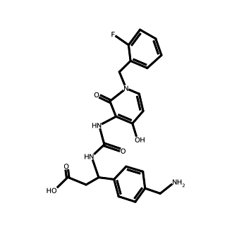 NCc1ccc(C(CC(=O)O)NC(=O)Nc2c(O)ccn(Cc3ccccc3F)c2=O)cc1